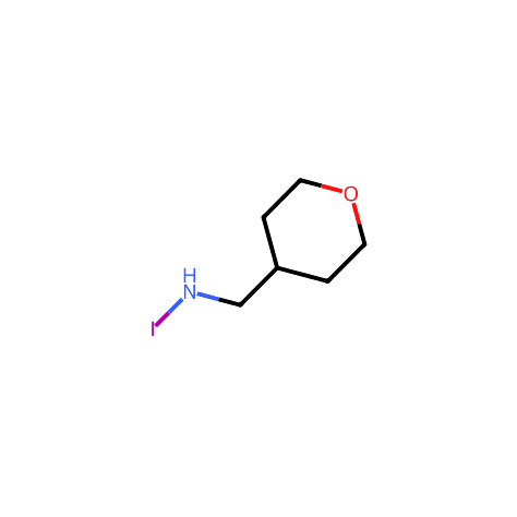 INCC1CCOCC1